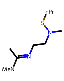 CCCSN(C)CC/N=C(\C)NC